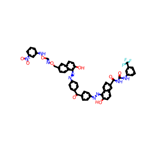 O=C(NC(=O)c1ccc2c(N=Nc3ccc(C(=O)c4ccc(N=Nc5c(O)ccc6cc(CO/N=C/ONc7cccc([N+](=O)[O-])c7)ccc56)cc4)cc3)c(O)ccc2c1)Nc1cccc(C(F)(F)F)c1